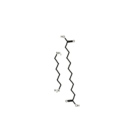 NCCCCCCN.O=C(O)CCCCCCCCCCC(=O)O